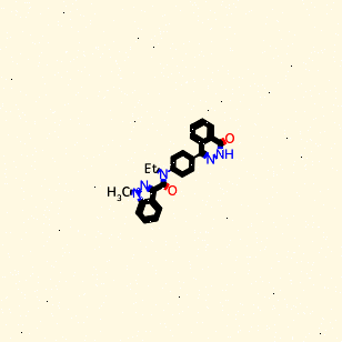 CCN(C(=O)c1nn(C)c2ccccc12)[C@H]1CC[C@H](c2n[nH]c(=O)c3ccccc32)CC1